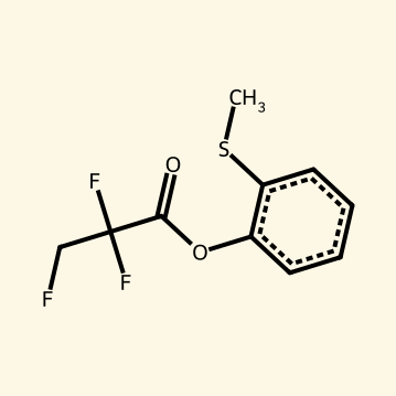 CSc1ccccc1OC(=O)C(F)(F)CF